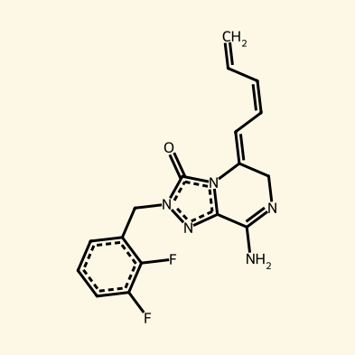 C=C/C=C\C=C1/CN=C(N)c2nn(Cc3cccc(F)c3F)c(=O)n21